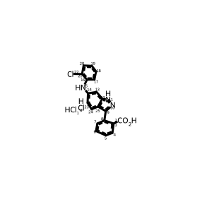 Cl.Cl.O=C(O)c1ccccc1-c1n[nH]c2cc(Nc3ccccc3Cl)ccc12